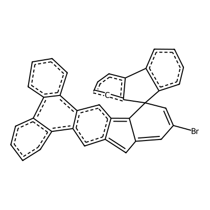 BrC1=CC2(C3=c4cc5c6ccccc6c6ccccc6c5cc4=CC3=C1)c1ccccc1-c1ccccc12